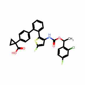 CC(OC(=O)Nc1cc(F)sc1-c1ccccc1-c1ccc(C2(C(=O)O)CC2)cc1)c1ccc(F)cc1Cl